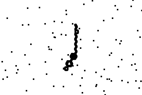 C=CCOCCCCCCCCC12CCC(c3ccc(OC)cc3)(CC1)CC2